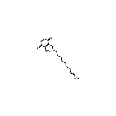 CCCCC=CCCCCCCCCCC1=C(OC)C(=O)C=CC1=O